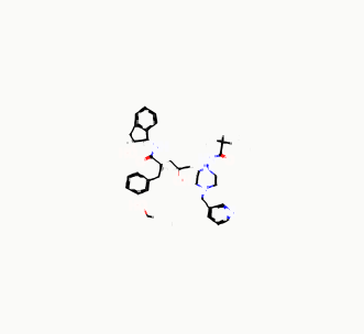 CC(C)(C)C(=O)NN1CCN(Cc2cccnc2)C[C@@H]1C[C@@H](O)C[C@@H](Cc1ccccc1)C(=O)N[C@H]1c2ccccc2C[C@H]1O.CCO